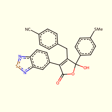 CSc1ccc(C2(O)OC(=O)C(c3ccc4nsnc4c3)=C2Cc2ccc(C#N)cc2)cc1